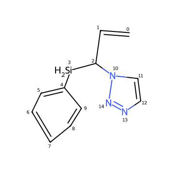 C=CC([SiH2]c1ccccc1)n1ccnn1